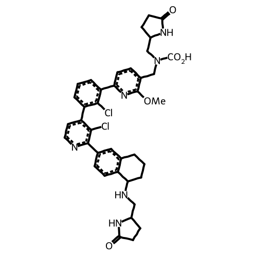 COc1nc(-c2cccc(-c3ccnc(-c4ccc5c(c4)CCCC5NCC4CCC(=O)N4)c3Cl)c2Cl)ccc1CN(CC1CCC(=O)N1)C(=O)O